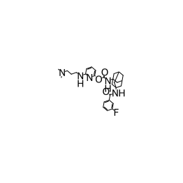 CN(C)CCCNc1cccc(OC(=O)NC23CC4CC(C2)CC(NC(=O)c2cccc(F)c2)(C4)C3)n1